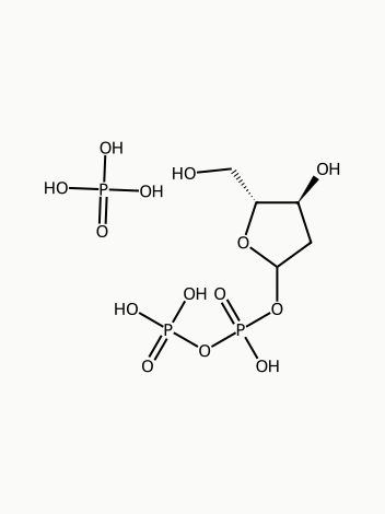 O=P(O)(O)O.O=P(O)(O)OP(=O)(O)OC1C[C@H](O)[C@@H](CO)O1